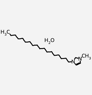 CCCCCCCCCCCCCCCCCCN1C=CN(C)C1.O